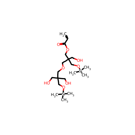 C=CC(=O)OCC(CO)(COCC(CO)(CO)CO[Si](C)(C)C)CO[Si](C)(C)C